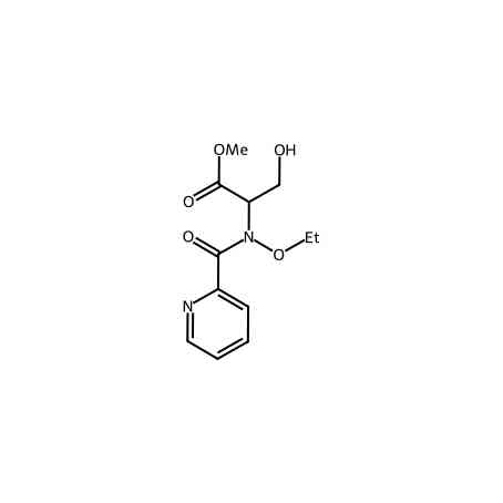 CCON(C(=O)c1ccccn1)C(CO)C(=O)OC